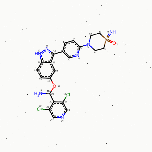 N=S1(=O)CCN(c2ccc(-c3n[nH]c4ccc(O[C@H](N)c5c(Cl)cncc5Cl)cc34)cn2)CC1